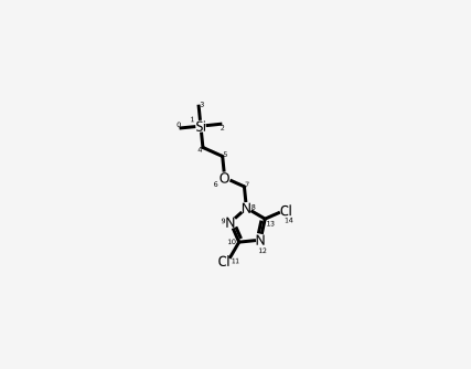 C[Si](C)(C)CCOCn1nc(Cl)nc1Cl